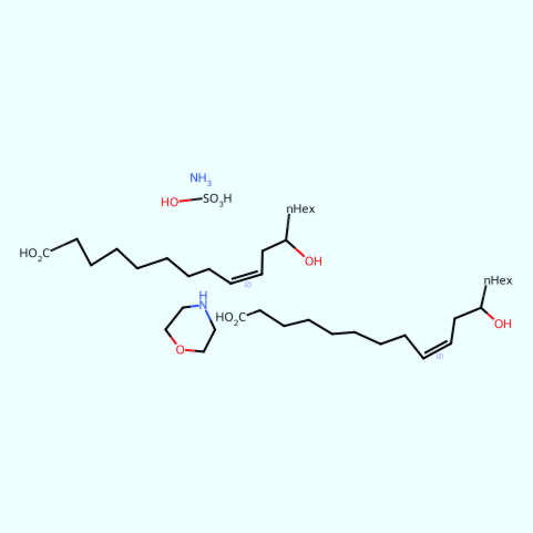 C1COCCN1.CCCCCCC(O)C/C=C\CCCCCCCC(=O)O.CCCCCCC(O)C/C=C\CCCCCCCC(=O)O.N.O=S(=O)(O)O